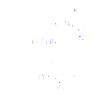 CN(C)C(=O)C1CCC(NCC(=O)N2CSC[C@H]2C#N)CC1.Cl